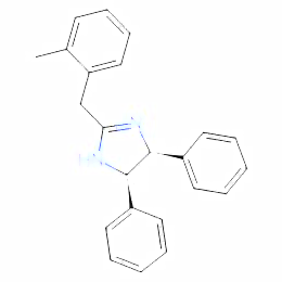 Cc1ccccc1CC1=N[C@@H](c2ccccc2)[C@@H](c2ccccc2)N1